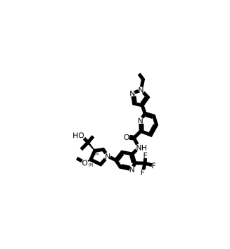 CCn1cc(-c2cccc(C(=O)Nc3cc(N4C[C@H](OC)[C@@H](C(C)(C)O)C4)cnc3C(F)(F)F)n2)cn1